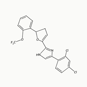 FC(F)(F)Oc1ccccc1C1CC=C(c2nc(-c3ccc(Cl)cc3Cl)c[nH]2)O1